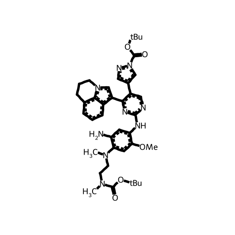 COc1cc(N(C)CCN(C)C(=O)OC(C)(C)C)c(N)cc1Nc1ncc(-c2cnn(C(=O)OC(C)(C)C)c2)c(-c2cn3c4c(cccc24)CCC3)n1